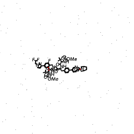 COC(=O)NC(C(=O)N[C@@H](Cc1ccc(-c2ccc(N3CC4CCC(C3)N4C3COC3)nc2)cc1)[C@@H](O)CN(Cc1c(F)cc(-c2ccn(CC(F)F)n2)cc1F)NC(=O)[C@@H](NC(=O)OC)C(C)(C)C(F)(F)F)C(C)(C)C(F)(F)F